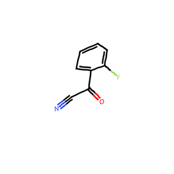 N#CC(=O)c1ccccc1F